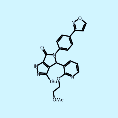 COCCOc1ncccc1C1c2c(C(C)(C)C)n[nH]c2C(=O)N1c1ccc(-c2ccon2)cc1